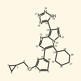 c1cc(OCC2CC2)cc(-c2cnc3c(-c4nnn[nH]4)cnn3c2C2CCCCC2)c1